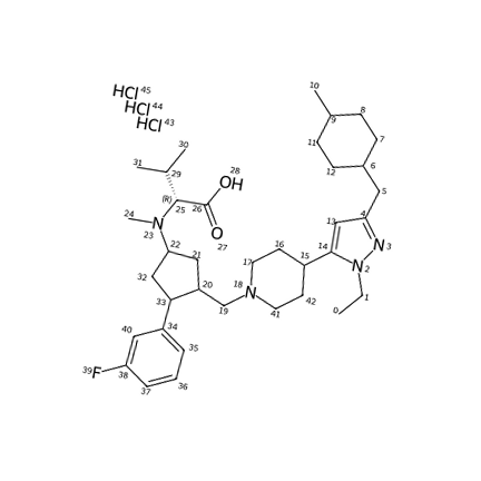 CCn1nc(CC2CCC(C)CC2)cc1C1CCN(CC2CC(N(C)[C@@H](C(=O)O)C(C)C)CC2c2cccc(F)c2)CC1.Cl.Cl.Cl